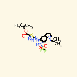 CC(C)COC(=O)c1nnc(N=Nc2cc3c(cc2NS(=O)(=O)C(F)(F)F)N(CC(C)C)CCC3)s1